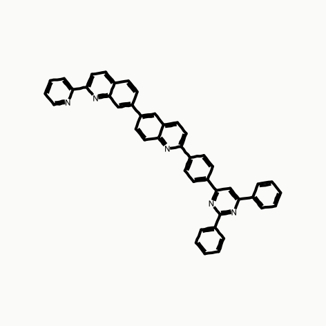 c1ccc(-c2cc(-c3ccc(-c4ccc5cc(-c6ccc7ccc(-c8ccccn8)nc7c6)ccc5n4)cc3)nc(-c3ccccc3)n2)cc1